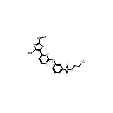 CCNc1nc(C)c(-c2ccnc(Nc3cccc(S(=O)(=O)NCCO)c3)n2)s1